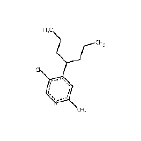 CCCC(CCC)c1cc(C)ncc1Cl